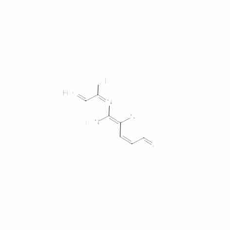 C=C\C=C/C(N)=C(N)/N=C(/C)C=C